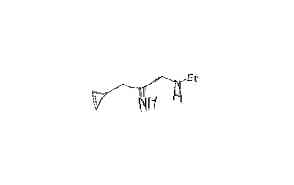 CCNCC(=N)CC1C=C1